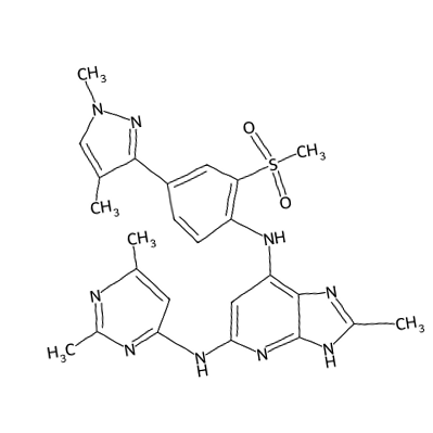 Cc1cc(Nc2cc(Nc3ccc(-c4nn(C)cc4C)cc3S(C)(=O)=O)c3nc(C)[nH]c3n2)nc(C)n1